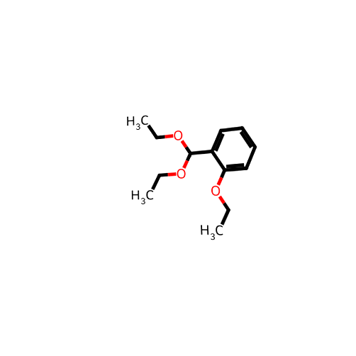 CCO[C](OCC)c1ccccc1OCC